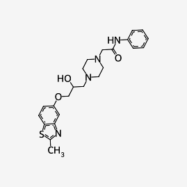 Cc1nc2cc(OCC(O)CN3CCN(CC(=O)Nc4ccccc4)CC3)ccc2s1